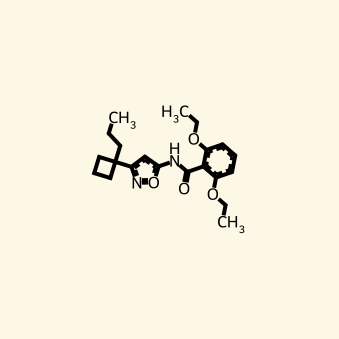 CCCC1(c2cc(NC(=O)c3c(OCC)cccc3OCC)on2)CCC1